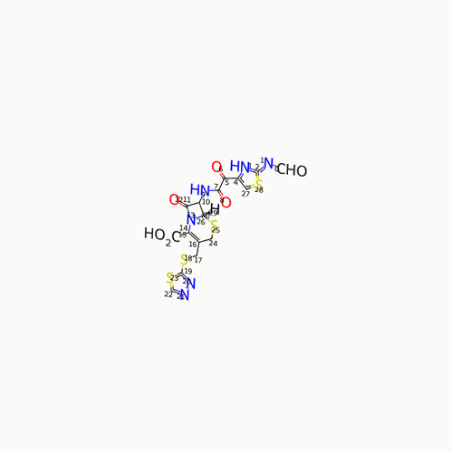 O=CN=c1[nH]c(C(=O)C(=O)NC2C(=O)N3C(C(=O)O)=C(CSc4nncs4)CS[C@@H]23)cs1